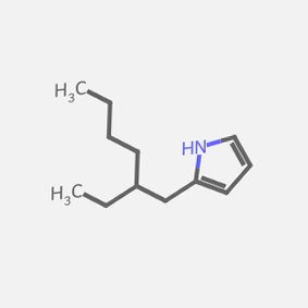 CCCCC(CC)Cc1ccc[nH]1